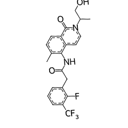 Cc1ccc2c(=O)n(C(C)CO)ccc2c1NC(=O)Cc1cccc(C(F)(F)F)c1F